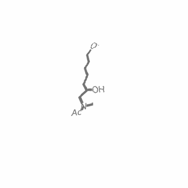 CC(=O)N(C)CC(O)CCCCC[O]